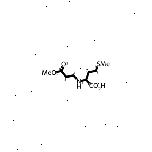 COC(=O)CCNC(CCSC)C(=O)O